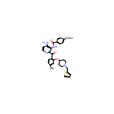 COc1ccc(C(=O)Nc2c(N)ccnc2C(=O)c2ccc(C(C)(C)C)cc2OC2CCN(Cc3cccs3)CC2)cc1